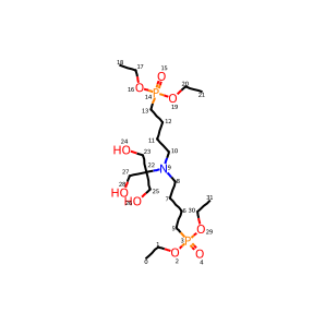 CCOP(=O)(CCCCN(CCCCP(=O)(OCC)OCC)C(CO)(CO)CO)OCC